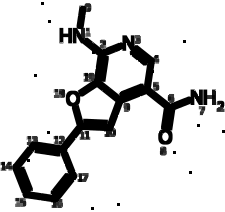 CNc1ncc(C(N)=O)c2cc(-c3ccccc3)oc12